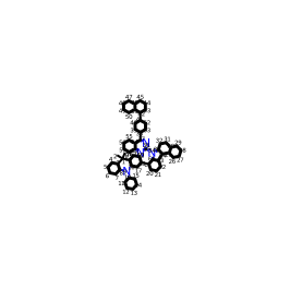 CC1(C)c2ccccc2N(c2ccccc2)c2cc(-c3cccc4c5c6ccccc6ccc5n(-c5nc(-c6ccc(-c7cccc8ccccc78)cc6)c6ccccc6n5)c34)ccc21